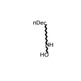 CCCCCCCCCCCCCCCCCCCCNCCCCO